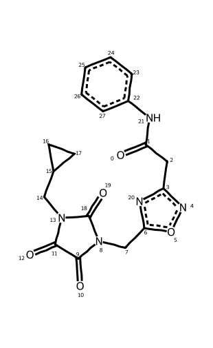 O=C(Cc1noc(CN2C(=O)C(=O)N(CC3CC3)C2=O)n1)Nc1ccccc1